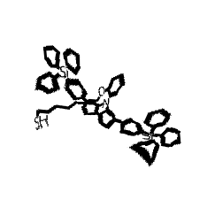 SCCCCCCCCOc1ccccc1-n1c2cc(-c3ccc([Si](c4ccccc4)(c4ccccc4)c4ccccc4)cc3)ccc2c2ccc(-c3ccc([Si](c4ccccc4)(c4ccccc4)c4ccccc4)cc3)cc21